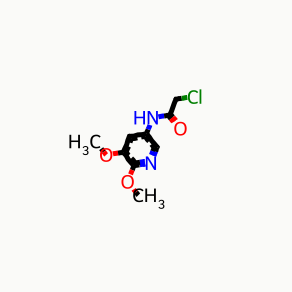 COc1cc(NC(=O)CCl)cnc1OC